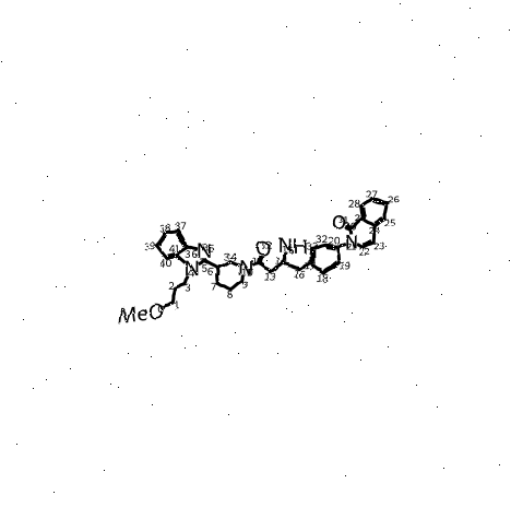 COCCCn1c(C2CCCN(C(=O)CC(N)Cc3ccc(-n4ccc5ccccc5c4=O)cc3)C2)nc2ccccc21